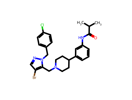 CC(C)C(=O)Nc1cccc(C2CCN(Cc3c(Br)cnn3Cc3ccc(Cl)cc3)CC2)c1